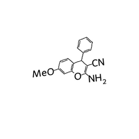 COc1ccc2c(c1)OC(N)=C(C#N)C2c1ccccc1